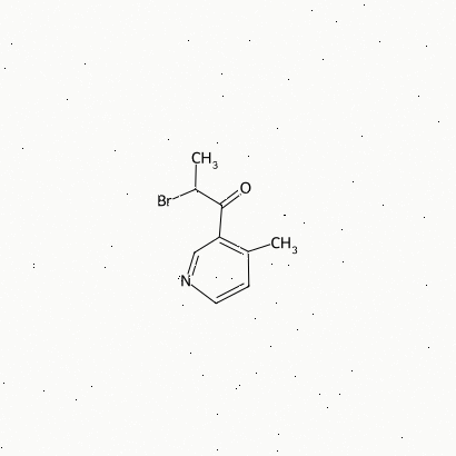 Cc1ccncc1C(=O)C(C)Br